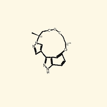 C[C@H]1CCOCC[C@H](C)n2cc(cn2)-c2n[nH]c3ccc(cc23)O1